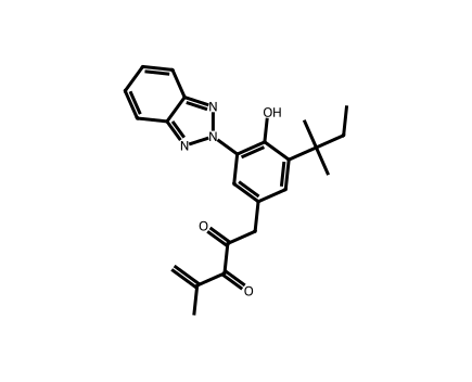 C=C(C)C(=O)C(=O)Cc1cc(-n2nc3ccccc3n2)c(O)c(C(C)(C)CC)c1